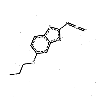 CCCOc1ccc2nc(N=C=O)sc2c1